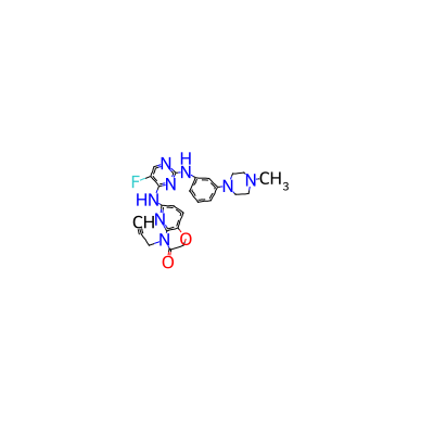 C#CCN1C(=O)COc2ccc(Nc3nc(Nc4cccc(N5CCN(C)CC5)c4)ncc3F)nc21